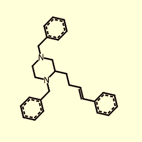 C(=Cc1ccccc1)CCC1CN(Cc2ccccc2)CCN1Cc1ccccc1